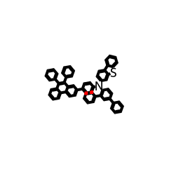 c1ccc(-c2ccc(N(c3ccc(-c4ccc5c(c4)c(-c4ccccc4)c(-c4ccccc4)c4ccccc45)cc3)c3ccc4c(c3)sc3ccccc34)c(-c3ccccc3)c2)cc1